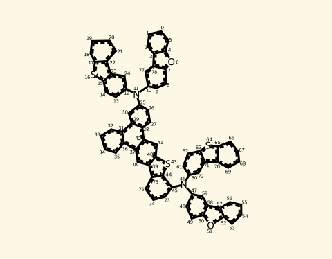 c1ccc2c(c1)oc1ccc(N(c3ccc4sc5ccccc5c4c3)c3ccc4c(c3)c3ccccc3c3cc5c(cc43)sc3c(N(c4ccc6oc7ccccc7c6c4)c4ccc6sc7ccccc7c6c4)cccc35)cc12